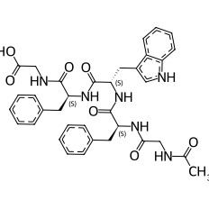 CC(=O)NCC(=O)N[C@@H](Cc1ccccc1)C(=O)N[C@@H](Cc1c[nH]c2ccccc12)C(=O)N[C@@H](Cc1ccccc1)C(=O)NCC(=O)O